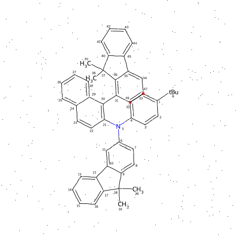 CC(C)(C)c1ccc(N(c2ccc3c(c2)-c2ccccc2C3(C)C)c2ccc3ccccc3c2-c2cccc3c2C(C)(C)c2ccccc2-3)cc1